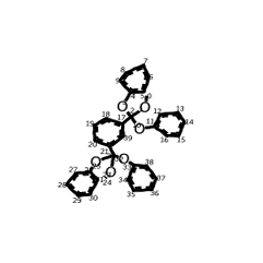 COC(Oc1ccccc1)(Oc1ccccc1)c1cccc(C(OC)(Oc2ccccc2)Oc2ccccc2)c1